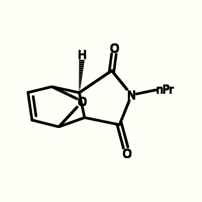 CCCN1C(=O)C2C3C=CC(O3)[C@H]2C1=O